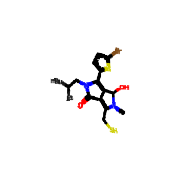 CCCCC(CC)CN1C(=O)C2=C(CS)N(C)C(O)C2=C1c1ccc(Br)s1